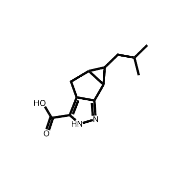 CC(C)CC1C2Cc3c(n[nH]c3C(=O)O)C21